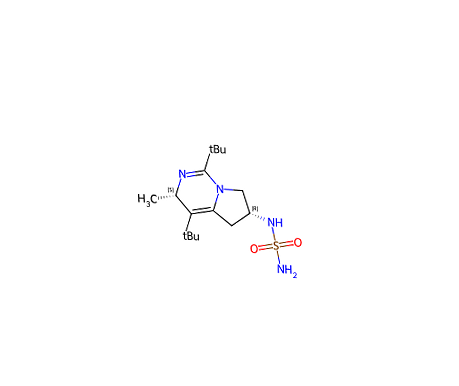 C[C@@H]1N=C(C(C)(C)C)N2C[C@H](NS(N)(=O)=O)CC2=C1C(C)(C)C